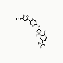 Oc1cc(-c2cnc(OC3CC(F)(c4cc(C(F)(F)F)ccc4F)C3)cn2)on1